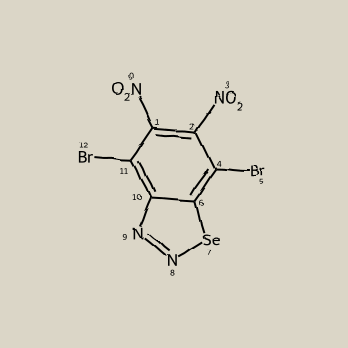 O=[N+]([O-])c1c([N+](=O)[O-])c(Br)c2[se]nnc2c1Br